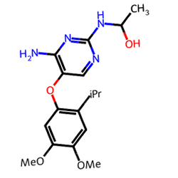 COc1cc(Oc2cnc(NC(C)O)nc2N)c(C(C)C)cc1OC